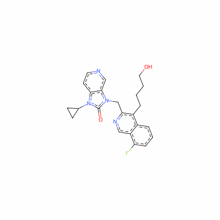 O=c1n(Cc2ncc3c(F)cccc3c2CCCCO)c2cnccc2n1C1CC1